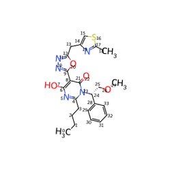 CCCCc1nc(O)c(-c2nnc(Cc3csc(C)n3)o2)c(=O)n1[C@H](COC)c1ccccc1